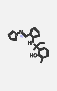 CCC(C)(Pc1ccccc1/C=N/n1cccc1)c1cccc(C)c1O